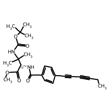 CCC#CC#Cc1ccc(C(=O)N[C@H](C(=O)OC)C(C)(C)NC(=O)OC(C)(C)C)cc1